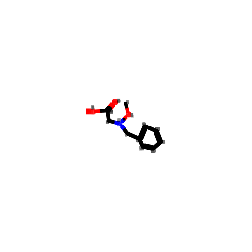 CON(CC(=O)O)Cc1ccccc1